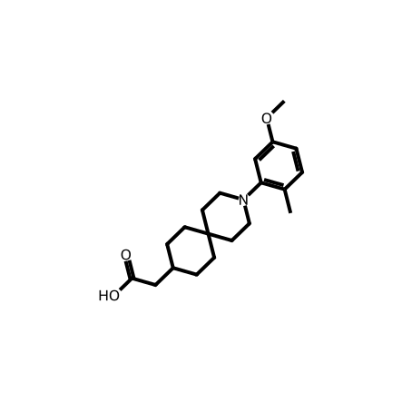 COc1ccc(C)c(N2CCC3(CCC(CC(=O)O)CC3)CC2)c1